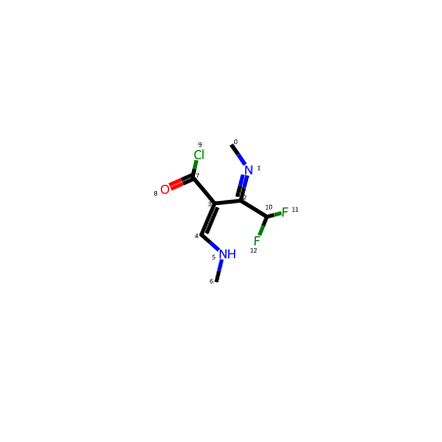 C/N=C(\C(=C/NC)C(=O)Cl)C(F)F